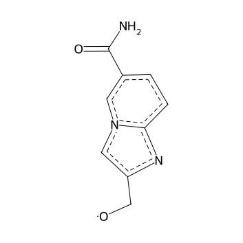 NC(=O)c1ccc2nc(C[O])cn2c1